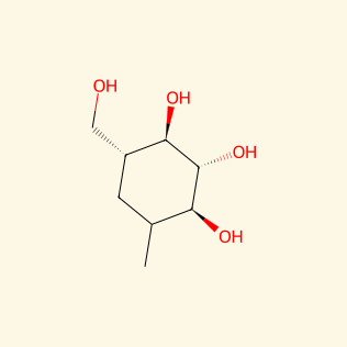 CC1C[C@H](CO)[C@@H](O)[C@H](O)[C@H]1O